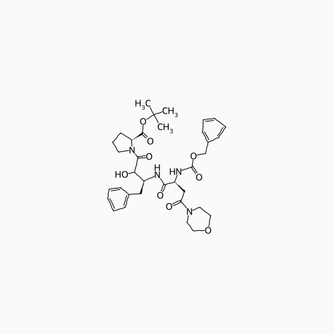 CC(C)(C)OC(=O)[C@@H]1CCCN1C(=O)C(O)[C@H](Cc1ccccc1)NC(=O)[C@H](CC(=O)N1CCOCC1)NC(=O)OCc1ccccc1